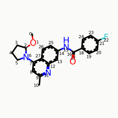 CO[C@@H]1CCCN1c1cc(C)nc2cc(NC(=O)c3ccc(F)cc3)ccc12